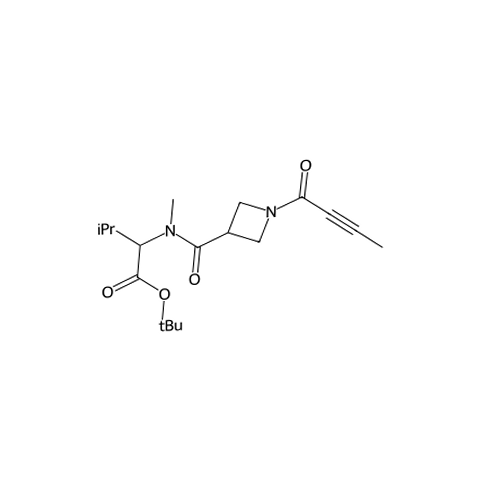 CC#CC(=O)N1CC(C(=O)N(C)C(C(=O)OC(C)(C)C)C(C)C)C1